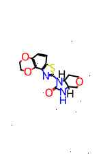 O=C1N[C@H]2COCC[C@H]2N1c1nc2c3c(ccc2s1)OCCO3